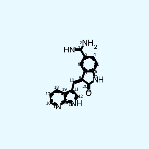 N=C(N)c1ccc2c(c1)C(=Cc1c[nH]c3ncccc13)C(=O)N2